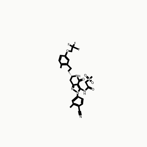 Cc1cc(-n2nc3c(c2NC(=O)CS(C)(=O)=O)C(=O)N[C@@H](CCc2cc(OCC(F)(F)F)ccc2C)C3)ccc1C#N